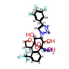 NC(=O)c1cccc(C(F)(F)F)c1[C@H]1CCO[C@]12O[C@H](CO)[C@H](O)[C@H](n1cc(-c3cc(F)c(F)c(F)c3)nn1)[C@H]2O